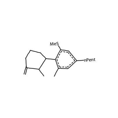 C=C1CCCC(c2c(C)cc(CCCCC)cc2SC)C1C